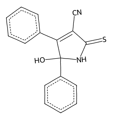 N#CC1=C(c2ccccc2)C(O)(c2ccccc2)NC1=S